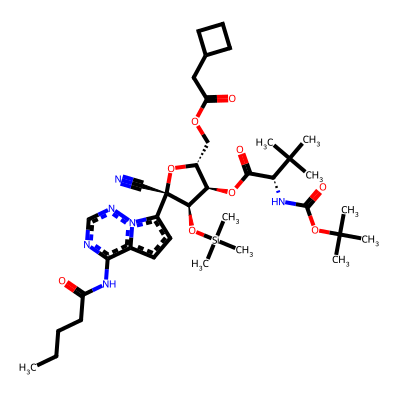 CCCCC(=O)Nc1ncnn2c([C@]3(C#N)O[C@H](COC(=O)CC4CCC4)[C@@H](OC(=O)[C@@H](NC(=O)OC(C)(C)C)C(C)(C)C)[C@H]3O[Si](C)(C)C)ccc12